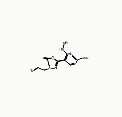 CCCNc1nc(SC)ncc1-c1nn(CCBr)c(=O)o1